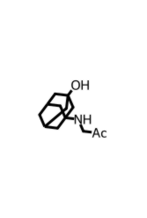 CC(=O)CNC12CC3CC(CC(O)(C3)C1)C2